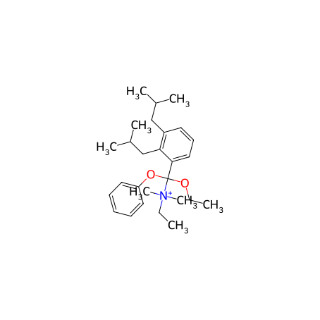 CCOC(Oc1ccccc1)(c1cccc(CC(C)C)c1CC(C)C)[N+](C)(C)CC